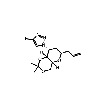 C=CC[C@@H]1C[C@@H](n2cc(I)nn2)[C@H]2OC(C)(C)OC[C@H]2O1